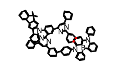 CC1(C)c2ccccc2-c2cc3c4ccccc4n(-c4ccc(-c5cc(-c6ccccc6)nc(-c6ccccc6)n5)cc4-c4nc(-c5ccccc5)cc(-c5cccc(-c6ccc(N7c8ccccc8B8c9ccccc9N(c9ccccc9)c9cccc7c98)cc6)c5)n4)c3cc21